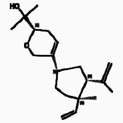 C=C[C@@]1(C)CC[C@H](C2=CC[C@H](C(C)(C)O)OC2)C[C@@H]1C(=C)C